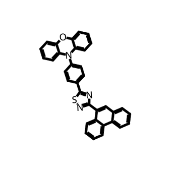 c1ccc2c(c1)Oc1ccccc1N2c1ccc(-c2nc(-c3cc4ccccc4c4ccccc34)ns2)cc1